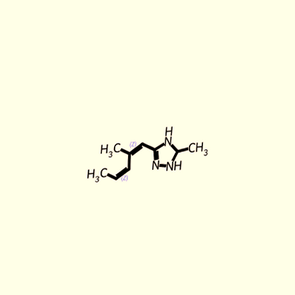 C/C=C\C(C)=C/C1=NNC(C)N1